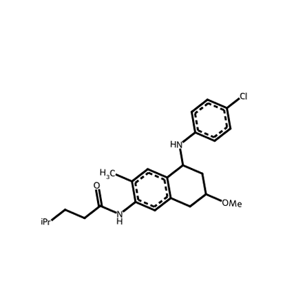 COC1Cc2cc(NC(=O)CCC(C)C)c(C)cc2C(Nc2ccc(Cl)cc2)C1